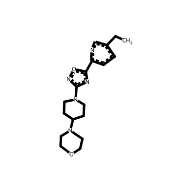 CCc1ccc(-c2nc(N3CCC(N4CCOCC4)CC3)no2)nc1